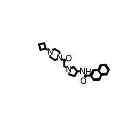 O=C(NC1CCN(CC(=O)N2CCN(C3CCC3)CC2)C1)c1ccc2ccccc2c1